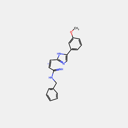 COc1cccc(-c2cnc(/C=C\C(=N)NCc3ccccc3)[nH]2)c1